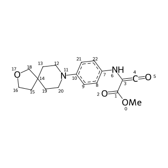 COC(=O)C(=C=O)Nc1ccc(N2CCC3(CCOC3)CC2)cc1